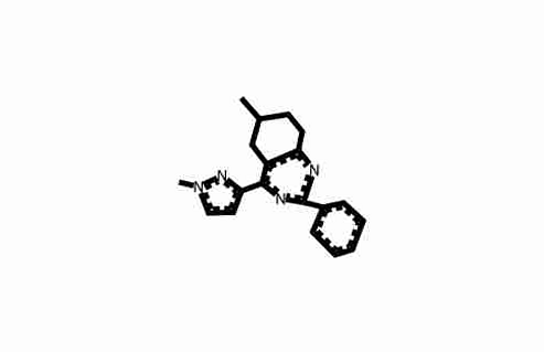 CC1CCc2nc(-c3ccccc3)nc(-c3ccn(C)n3)c2C1